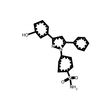 NS(=O)(=O)c1ccc(-n2nc(-c3cccc(O)c3)cc2-c2ccccc2)cc1